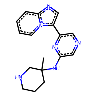 CC1(Nc2cncc(-c3cnc4ccccn34)n2)CCCNC1